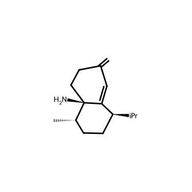 C=C1C=C2[C@@H](C(C)C)CC[C@H](C)[C@]2(N)CC1